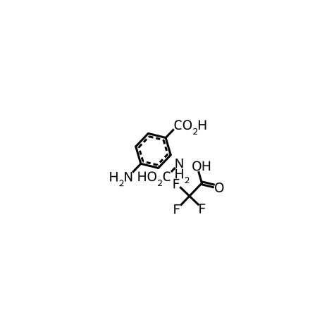 NC(=O)O.Nc1ccc(C(=O)O)cc1.O=C(O)C(F)(F)F